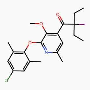 CCC(I)(CC)C(=O)c1cc(C)nc(Oc2c(C)cc(Cl)cc2C)c1OC